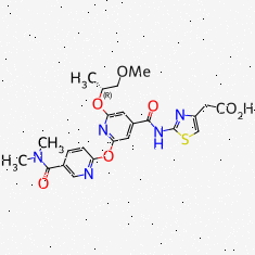 COC[C@@H](C)Oc1cc(C(=O)Nc2nc(CC(=O)O)cs2)cc(Oc2ccc(C(=O)N(C)C)cn2)n1